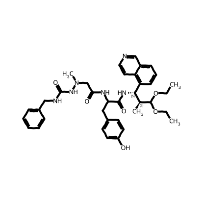 CCOC(OCC)[C@@H](C)[C@H](NC(=O)C(Cc1ccc(O)cc1)NC(=O)CN(C)NC(=O)NCc1ccccc1)c1cccc2cnccc12